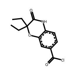 CCC1(CC)Oc2cc(C(=O)Cl)ccc2NC1=O